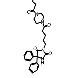 O=C(O)CCC(=O)N1CCN(C(=O)CCCCN2C(=O)NC(c3ccccc3)(c3ccccc3)C2=O)CC1